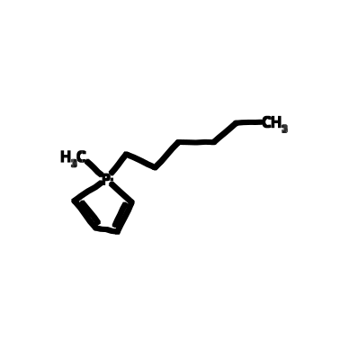 CCCCCC[P]1(C)C=CC=C1